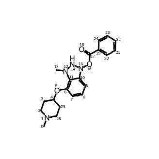 CN1CCC(Oc2cccc3c2N(C)NN3OC(=O)c2ccccc2)CC1